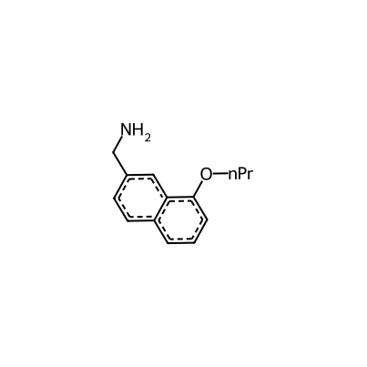 CCCOc1cccc2ccc(CN)cc12